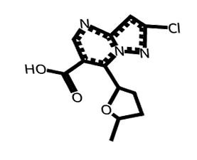 CC1CCC(c2c(C(=O)O)cnc3cc(Cl)nn23)O1